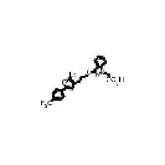 CCc1oc(-c2ccc(C(F)(F)F)cc2)cc1CCCOc1nn(CC(=O)O)c2ccccc12